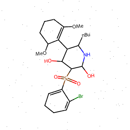 CCCCC1NC(O)C(S(=O)(=O)C2=CCCC=C2Br)C(O)C1C1=C(OC)CCCC1OC